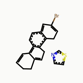 BrC1=CCc2c3c(ccc2=C1)=C1C=CCCC1=CC3.c1cscn1